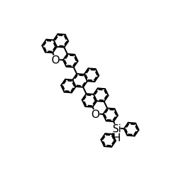 c1ccc([SiH](c2ccccc2)c2ccc3c(c2)Oc2ccc(-c4c5ccccc5c(-c5ccc6c(c5)Oc5cccc7cccc-6c57)c5ccccc45)c4cccc-3c24)cc1